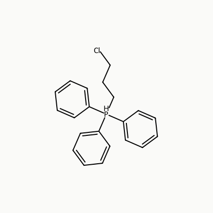 ClCCC[PH](c1ccccc1)(c1ccccc1)c1ccccc1